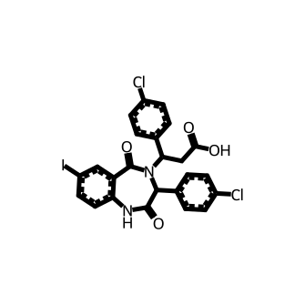 O=C(O)CC(c1ccc(Cl)cc1)N1C(=O)c2cc(I)ccc2NC(=O)C1c1ccc(Cl)cc1